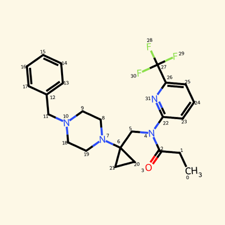 CCC(=O)N(CC1(N2CCN(Cc3ccccc3)CC2)CC1)c1cccc(C(F)(F)F)n1